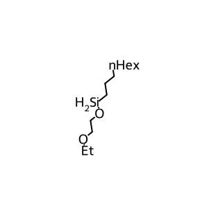 CCCCCCCCC[SiH2]OCCOCC